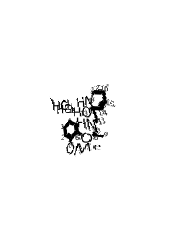 COc1ccccc1OC(C)NCC1(O)C=CC=CN1.Cl.Cl